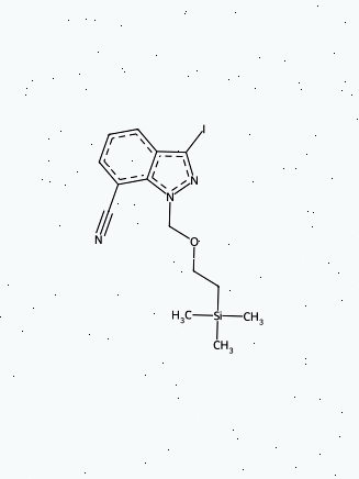 C[Si](C)(C)CCOCn1nc(I)c2cccc(C#N)c21